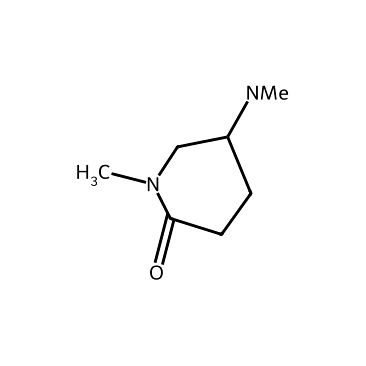 CNC1CCC(=O)N(C)C1